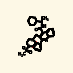 CC(NC(=O)c1c(CN2CCN(S(C)(=O)=O)CC2)c(-c2ccccc2)nc2ccccc12)C1CCCCC1